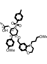 COCCCN1CCOc2ccc(CO[C@H]3CN(S(=O)(=O)c4ccc(C)cc4)[C@@H](C[C@@H](O)C(C)C)C[C@@H]3c3ccc(OC)cc3)cc21